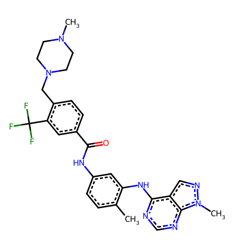 Cc1ccc(NC(=O)c2ccc(CN3CCN(C)CC3)c(C(F)(F)F)c2)cc1Nc1ncnc2c1cnn2C